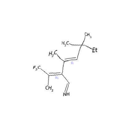 CCC(C)(C)/C=C(C)/C(C=N)=C(/C)C(F)(F)F